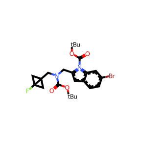 CC(C)(C)OC(=O)N(Cc1cc2ccc(Br)cc2n1C(=O)OC(C)(C)C)CC12CC1(F)C2